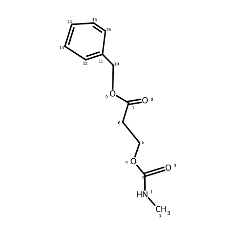 CNC(=O)OCCC(=O)OCc1ccccc1